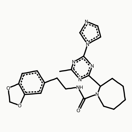 Cc1nc(C2CCCCCN2C(=O)NCCc2ccc3c(c2)OCO3)nc(-n2ccnc2)n1